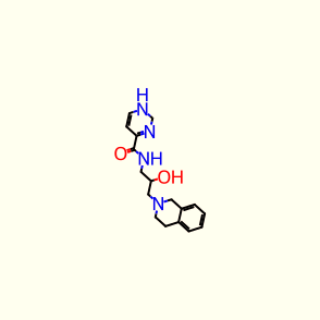 O=C(NCC(O)CN1CCc2ccccc2C1)C1=NCNC=C1